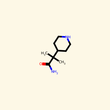 CC(C)(C(N)=O)C1CCNCC1